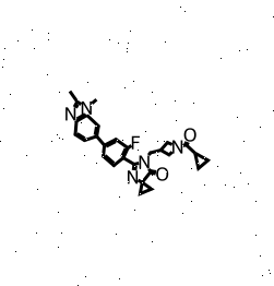 Cc1nc2ccc(-c3ccc(C4=NC5(CC5)C(=O)N4CC4CN(C(=O)C5CC5)C4)c(F)c3)cc2n1C